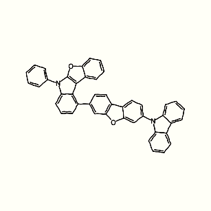 c1ccc(-n2c3cccc(-c4ccc5c(c4)oc4cc(-n6c7ccccc7c7ccccc76)ccc45)c3c3c4ccccc4oc32)cc1